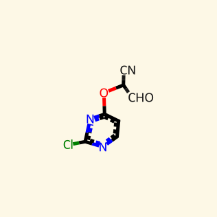 N#CC(C=O)Oc1ccnc(Cl)n1